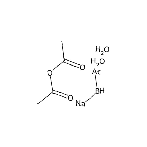 CC(=O)OC(C)=O.CC(=O)[BH][Na].O.O